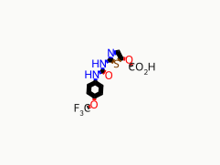 O=C(Nc1ccc(OC(F)(F)F)cc1)Nc1ncc(OC(=O)O)s1